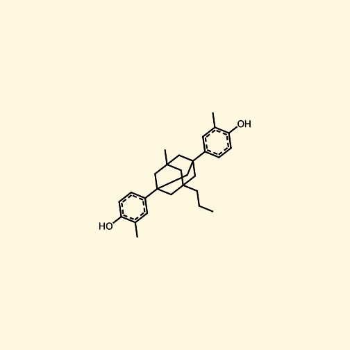 CCCC12CC3(C)CC(c4ccc(O)c(C)c4)(C1)CC(c1ccc(O)c(C)c1)(C3)C2